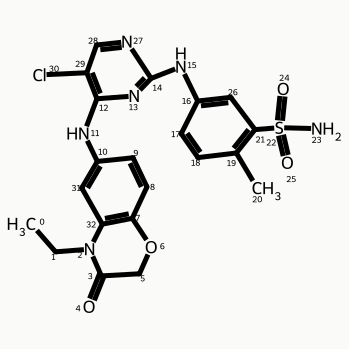 CCN1C(=O)COc2ccc(Nc3nc(Nc4ccc(C)c(S(N)(=O)=O)c4)ncc3Cl)cc21